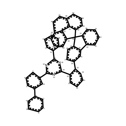 c1ccc(-c2cccc(-c3nc(-c4ccccc4)nc(-c4ccccc4-c4ccc5c(c4)-c4ccccc4C54c5cccc6ccc7cccc4c7c56)n3)c2)cc1